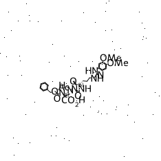 COc1cc2nc(NCCC[C@@H]3NC(=O)N(N(C[C@H](NC(=O)OCc4ccccc4)C(=O)O)C(C)=O)C3=O)[nH]c2cc1OC